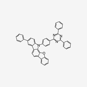 c1ccc(-c2ccc3c(c2)c2ccc4c5ccccc5oc4c2n3-c2ccc(-c3nc(-c4ccccc4)nc(-c4ccccc4)n3)cc2)cc1